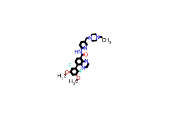 CCN1CCN(Cc2ccc(NC(=O)c3ccc(-c4c(F)c(OC)cc(OC)c4F)c4nccnc34)nc2)CC1